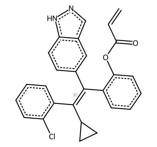 C=CC(=O)Oc1ccccc1/C(=C(/c1ccccc1Cl)C1CC1)c1ccc2[nH]ncc2c1